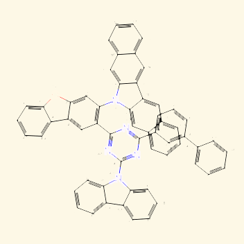 c1ccc(-c2cccc(-c3nc(-c4cc5c(cc4-n4c6cc7ccccc7cc6c6cc7ccccc7cc64)oc4ccccc45)nc(-n4c5ccccc5c5ccccc54)n3)c2)cc1